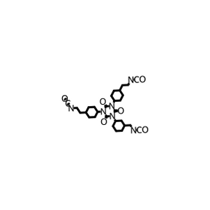 O=C=NCCC1CCC(n2c(=O)n(C3CCC(CCN=C=O)CC3)c(=O)n(C3CCCC(CN=C=O)C3)c2=O)CC1